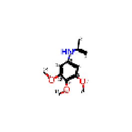 C=C(C)Nc1cc(OC)c(OC)c(OC)c1